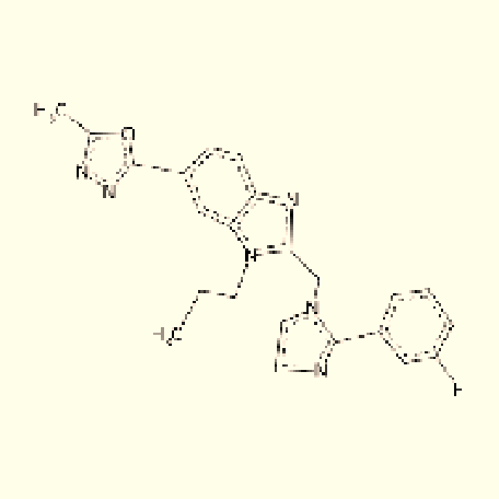 CCCn1c(Cn2ccnc2-c2cccc(F)c2)nc2ccc(-c3nnc(C)o3)cc21